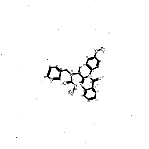 CCOc1ccc(-n2c(C(C)N(Cc3cccnc3)C(=O)OC(C)(C)C)nc3ccccc3c2=O)cc1